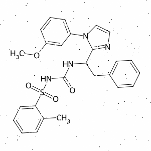 COc1cccc(-n2ccnc2C(Cc2ccccc2)NC(=O)NS(=O)(=O)c2ccccc2C)c1